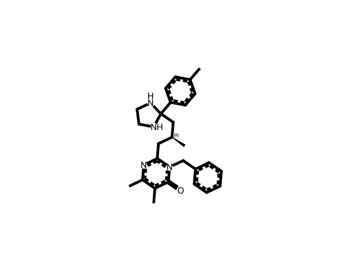 Cc1ccc(C2(C[C@@H](C)Cc3nc(C)c(C)c(=O)n3Cc3ccccc3)NCCN2)cc1